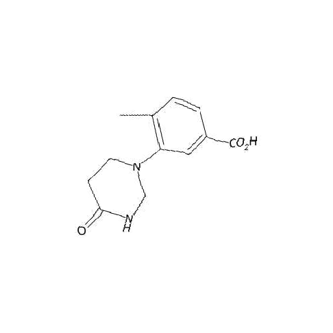 Cc1ccc(C(=O)O)cc1N1CCC(=O)NC1